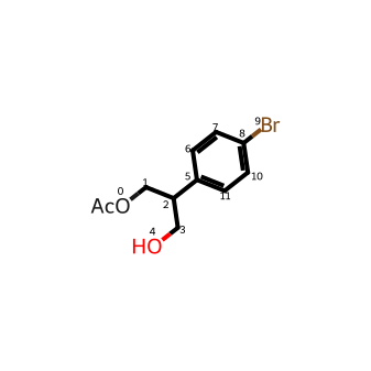 CC(=O)OCC(CO)c1ccc(Br)cc1